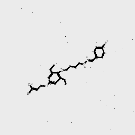 CCc1cc(OCC=C(Cl)Cl)cc(CC)c1OCCCCO/N=C/c1ccc(Cl)cc1